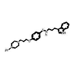 CC(C)N1CCN(CCCOc2ccc(SNCCCc3c[nH]c4ccccc34)cc2)CC1